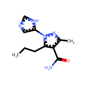 CCCc1c(C(N)=O)c(C)nn1-c1cnc[nH]1